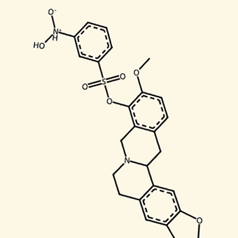 COc1ccc2c(c1OS(=O)(=O)c1cccc([NH+]([O-])O)c1)CN1CCc3cc4c(cc3C1C2)OCO4